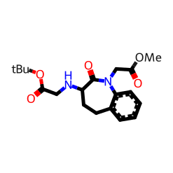 COC(=O)CN1C(=O)C(NCC(=O)OC(C)(C)C)CCc2ccccc21